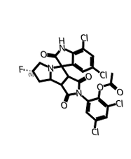 CC(=O)Oc1c(Cl)cc(Cl)cc1N1C(=O)C2C3C[C@H](F)CN3C3(C(=O)Nc4c(Cl)cc(Cl)cc43)C2C1=O